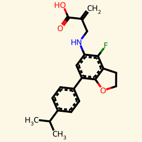 C=C(CNc1cc(-c2ccc(C(C)C)cc2)c2c(c1F)CCO2)C(=O)O